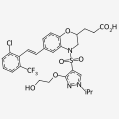 CC(C)n1cc(S(=O)(=O)N2CC(CCC(=O)O)Oc3ccc(C=Cc4c(Cl)cccc4C(F)(F)F)cc32)c(OCCO)n1